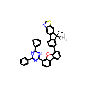 CC1(C)c2cc(-c3cccc4c3oc3c(-c5nc(-c6ccccc6)nc(-c6ccccc6)n5)cccc34)ccc2-c2cc3ncsc3cc21